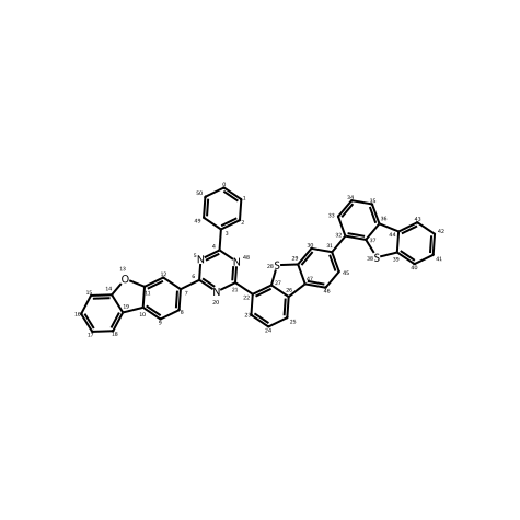 c1ccc(-c2nc(-c3ccc4c(c3)oc3ccccc34)nc(-c3cccc4c3sc3cc(-c5cccc6c5sc5ccccc56)ccc34)n2)cc1